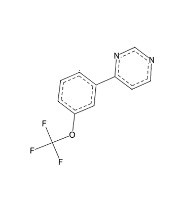 FC(F)(F)Oc1cc[c]c(-c2ccncn2)c1